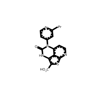 CC(C)c1cc(N2C(=O)Nc3c(C(=O)O)sc4nccc2c34)ccn1